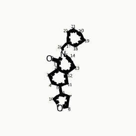 O=c1c2ccc(-c3ccoc3)cc2ccn1Cc1ccccc1